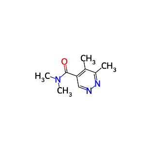 Cc1nncc(C(=O)N(C)C)c1C